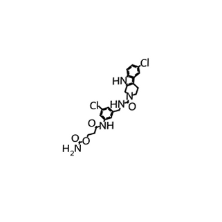 NC(=O)OCCC(=O)Nc1cc(Cl)cc(CNC(=O)N2CCc3c([nH]c4ccc(Cl)cc34)C2)c1